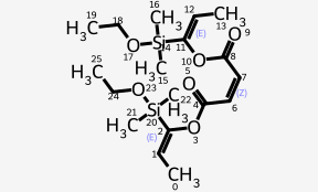 C/C=C(\OC(=O)/C=C\C(=O)O/C(=C\C)[Si](C)(C)OCC)[Si](C)(C)OCC